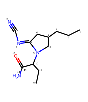 CCCC1C/C(=N\C#N)N(C(CC)C(N)=O)C1